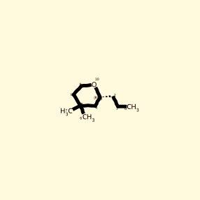 CCC[C@@H]1CC(C)(C)CCO1